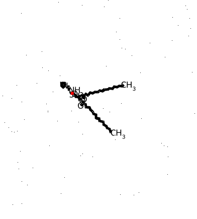 CCCCCCCCC=CCCCCCCCC(=O)OCC(COC(=S)NCCN1CCCC1)OC(=O)CCCCCCCC=CCCCCCCCC